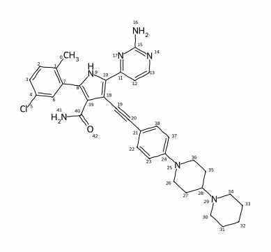 Cc1ccc(Cl)cc1-c1[nH]c(-c2ccnc(N)n2)c(C#Cc2ccc(N3CCC(N4CCCCC4)CC3)cc2)c1C(N)=O